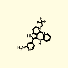 Nc1cc(-c2[nH]c3c(c2Nc2ccccc2)C(=O)N(CC(F)(F)F)CC3)ccn1